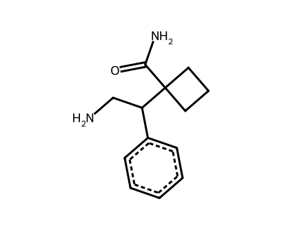 NCC(c1ccccc1)C1(C(N)=O)CCC1